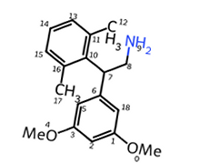 COc1cc(OC)cc(C(CN)c2c(C)cccc2C)c1